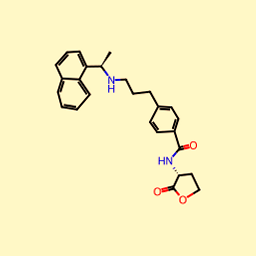 C[C@@H](NCCCc1ccc(C(=O)N[C@@H]2CCOC2=O)cc1)c1cccc2ccccc12